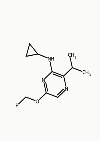 CC(C)c1ncc(OCF)nc1NC1CC1